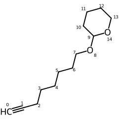 C#CCCCCCCOC1CCCCO1